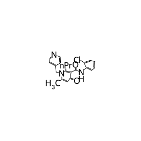 CCCc1c(C(=O)Nc2ccccc2Cl)c(=O)cc(C)n1Cc1ccncc1